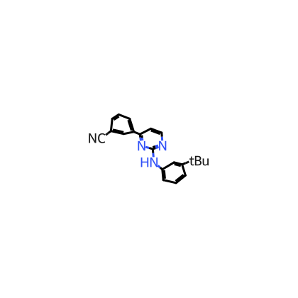 CC(C)(C)c1cccc(Nc2nccc(-c3cccc(C#N)c3)n2)c1